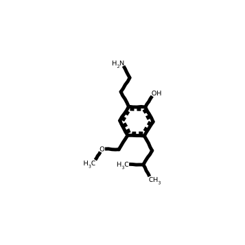 COCc1cc(CCN)c(O)cc1CC(C)C